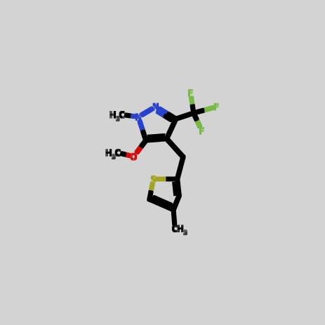 COc1c(Cc2cc(C)cs2)c(C(F)(F)F)nn1C